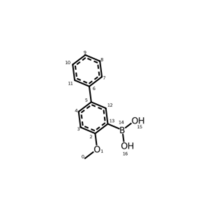 COc1ccc(-c2ccccc2)cc1B(O)O